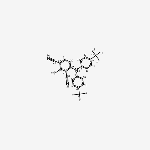 CC(C)(C)c1ccc(N(c2ccc(C(C)(C)C)cc2)c2ccc(C#N)c(F)c2C#N)cc1